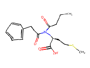 CCCC(=O)N(C(=O)Cc1ccccc1)[C@@H](CCSC)C(=O)O